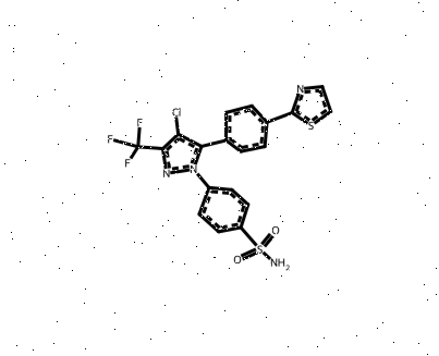 NS(=O)(=O)c1ccc(-n2nc(C(F)(F)F)c(Cl)c2-c2ccc(-c3nccs3)cc2)cc1